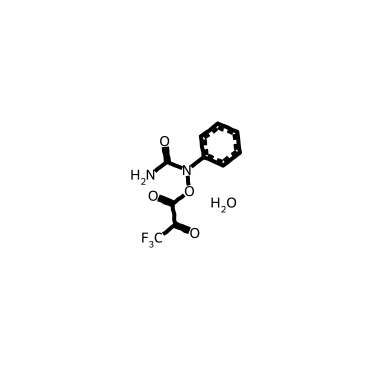 NC(=O)N(OC(=O)C(=O)C(F)(F)F)c1ccccc1.O